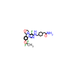 CC(F)(F)Oc1ccc(C2COCCN2c2ncnc(NCC3CCC(CC(N)=O)CC3)c2F)cc1